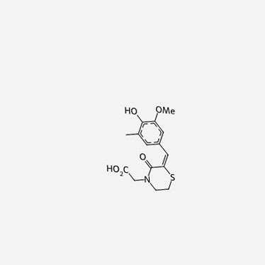 COc1cc(/C=C2/SCCN(CC(=O)O)C2=O)cc(C)c1O